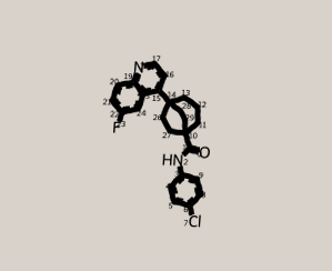 O=C(Nc1ccc(Cl)cc1)C12CCCC(c3ccnc4ccc(F)cc34)(CC1)CC2